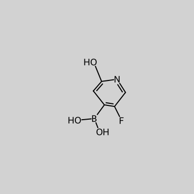 OB(O)c1cc(O)ncc1F